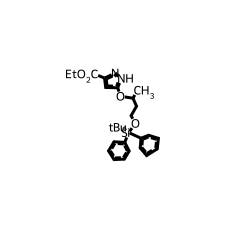 CCOC(=O)c1cc(OC(C)CCO[Si](c2ccccc2)(c2ccccc2)C(C)(C)C)[nH]n1